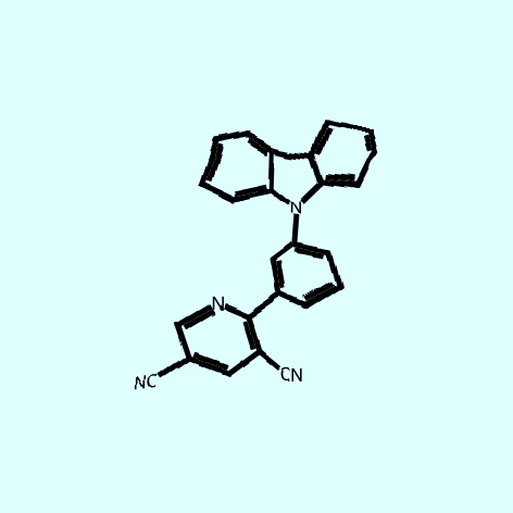 N#Cc1cnc(-c2cccc(-n3c4ccccc4c4ccccc43)c2)c(C#N)c1